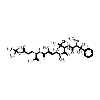 CN[C@H](C(=O)NC(C(=O)N(C)C/C=C(\C)C(=O)N[C@H](CCC(=O)OC(C)(C)C)C(=O)O)C(C)(C)C)C(C)(C)c1ccccc1